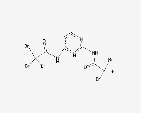 O=C(Nc1ccnc(NC(=O)C(Br)(Br)Br)n1)C(Br)(Br)Br